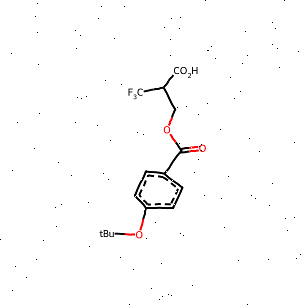 CC(C)(C)Oc1ccc(C(=O)OCC(C(=O)O)C(F)(F)F)cc1